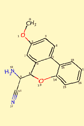 COc1ccc2c(c1)C(C(N)C#N)Oc1ccccc1-2